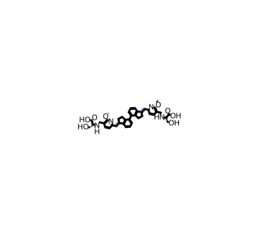 COc1nc(/C=C2\CCc3c2cccc3-c2cccc3c2CC/C3=C\c2ccc(CN[C@H](CO)C(=O)O)c(OC)n2)ccc1CN[C@H](CO)C(=O)O